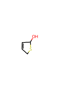 OC1C=CCS1